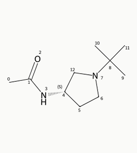 CC(=O)N[C@H]1CCN(C(C)(C)C)C1